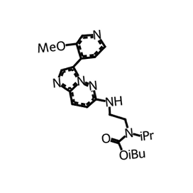 COc1cnccc1-c1cnc2ccc(NCCN(C(=O)OCC(C)C)C(C)C)nn12